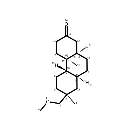 COC[C@@]1(C)CC[C@H]2[C@@H](CC[C@@H]3CC(=O)CC[C@@]32C)C1